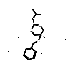 CC(C)C[C@H]1OC[C@@](C)(OCc2ccccc2)CO1